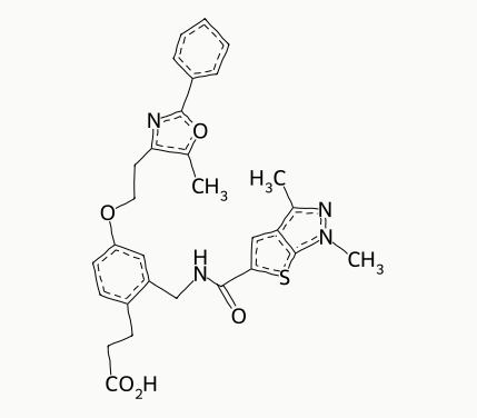 Cc1oc(-c2ccccc2)nc1CCOc1ccc(CCC(=O)O)c(CNC(=O)c2cc3c(C)nn(C)c3s2)c1